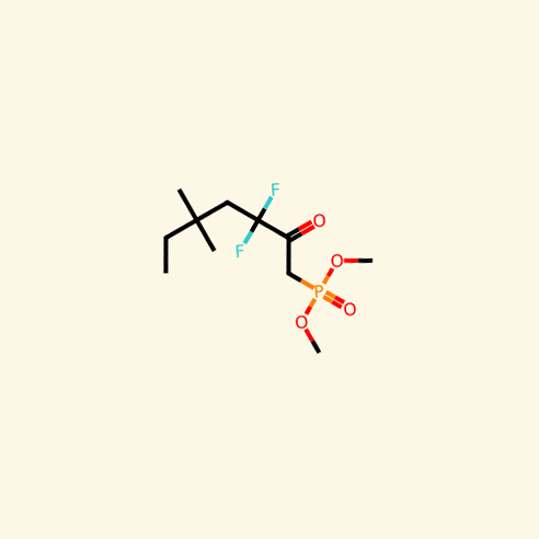 CCC(C)(C)CC(F)(F)C(=O)CP(=O)(OC)OC